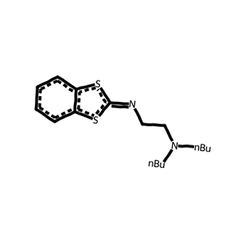 CCCCN(CCCC)CCN=c1sc2ccccc2s1